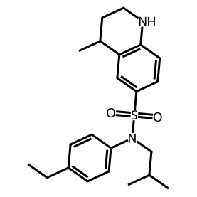 CCc1ccc(N(CC(C)C)S(=O)(=O)c2ccc3c(c2)C(C)CCN3)cc1